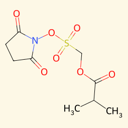 CC(C)C(=O)OCS(=O)(=O)ON1C(=O)CCC1=O